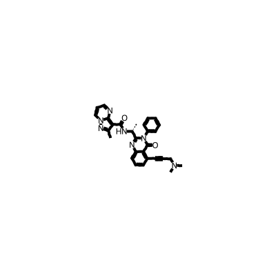 Cc1nn2cccnc2c1C(=O)N[C@H](C)c1nc2cccc(C#CCN(C)C)c2c(=O)n1-c1ccccc1